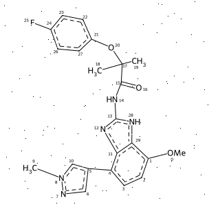 COc1ccc(-c2cnn(C)c2)c2nc(NC(=O)C(C)(C)Oc3ccc(F)cc3)[nH]c12